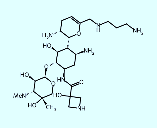 CN[C@@H]1[C@@H](O)[C@@H](O[C@H]2[C@H](NC(=O)C3(O)CNC3)C[C@H](N)C([C@H]3OC(CNCCCN)=CC[C@H]3N)[C@@H]2O)OC[C@]1(C)O